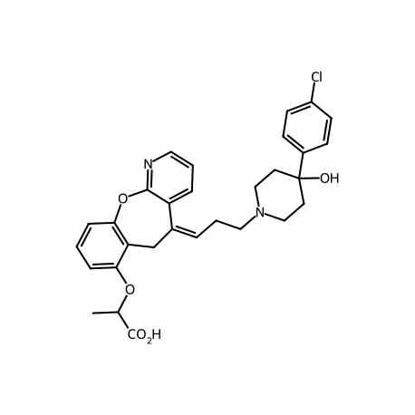 CC(Oc1cccc2c1C/C(=C/CCN1CCC(O)(c3ccc(Cl)cc3)CC1)c1cccnc1O2)C(=O)O